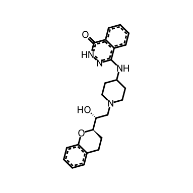 O=c1[nH]nc(NC2CCN(C[C@@H](O)[C@H]3CCc4ccccc4O3)CC2)c2ccccc12